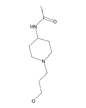 CC(=O)NC1CCN(CCC[O])CC1